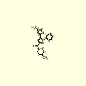 C=C1CCN(C(=O)c2cc(-c3cn(C)cn3)n(-c3cccnc3)n2)CC1